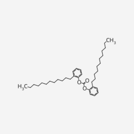 CCCCCCCCCCCCc1ccccc1OC(=O)Oc1ccccc1CCCCCCCCCCCC